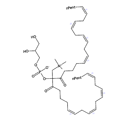 CCCCC/C=C\C/C=C\C/C=C\C/C=C\CCCC(=O)C(C[N+](C)(C)C)(OP(=O)([O-])OCC(O)CO)C(=O)CCC/C=C\C/C=C\C/C=C\C/C=C\CCCCC